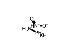 NP.O=[NH+][O-].[KH]